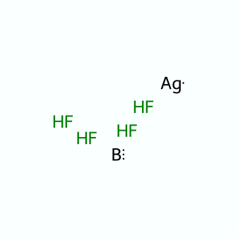 F.F.F.F.[Ag].[B]